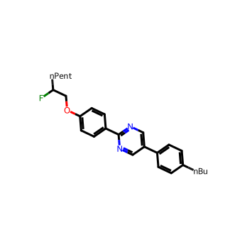 CCCCCC(F)COc1ccc(-c2ncc(-c3ccc(CCCC)cc3)cn2)cc1